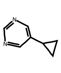 c1ncc(C2CC2)cn1